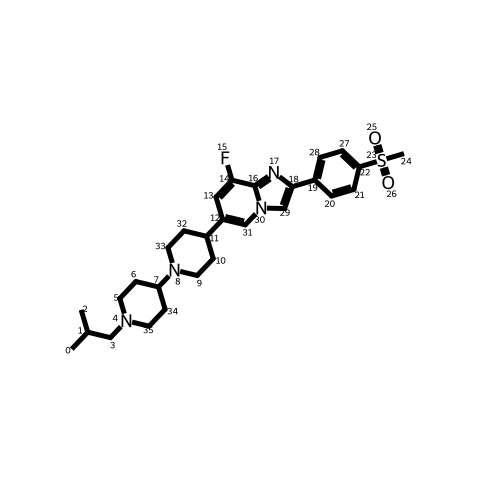 CC(C)CN1CCC(N2CCC(c3cc(F)c4nc(-c5ccc(S(C)(=O)=O)cc5)cn4c3)CC2)CC1